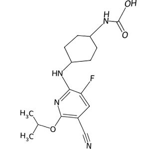 CC(C)Oc1nc(NC2CCC(NC(=O)O)CC2)c(F)cc1C#N